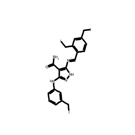 NC(=O)c1c(Nc2cccc(CI)c2)n[nH]c1/N=C/c1ccc(CI)cc1CI